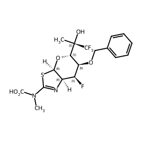 CN(C(=O)O)C1=N[C@@H]2[C@H](F)[C@H](OCc3ccccc3)[C@@H]([C@](C)(O)C(F)(F)F)O[C@@H]2S1